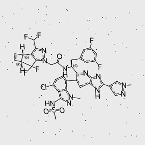 Cn1cc(-c2nc3nc([C@H](Cc4cc(F)cc(F)c4)NC(=O)Cn4nc(C(F)F)c5c4C(F)(F)[C@@H]4C=C[C@H]54)c(-c4ccc(Cl)c5c(NS(C)(=O)=O)nn(C)c45)cc3[nH]2)cn1